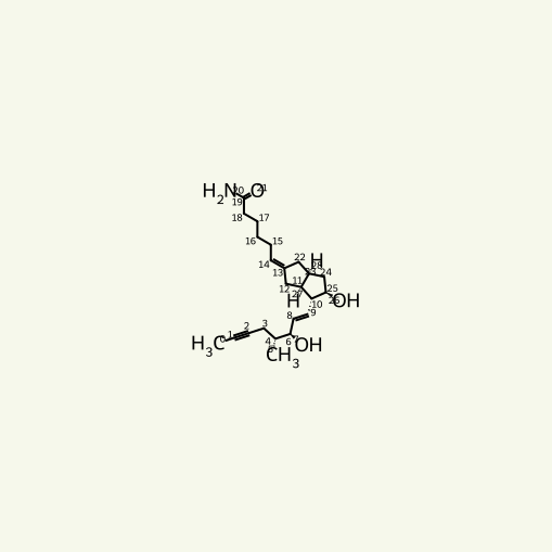 CC#CC[C@@H](C)[C@H](O)C=C[C@@H]1[C@H]2CC(=CCCCCC(N)=O)C[C@H]2C[C@H]1O